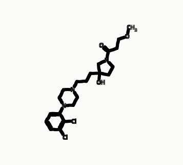 COCCC(=O)N1CCC(O)(CCCN2CCN(c3cccc(Cl)c3Cl)CC2)C1